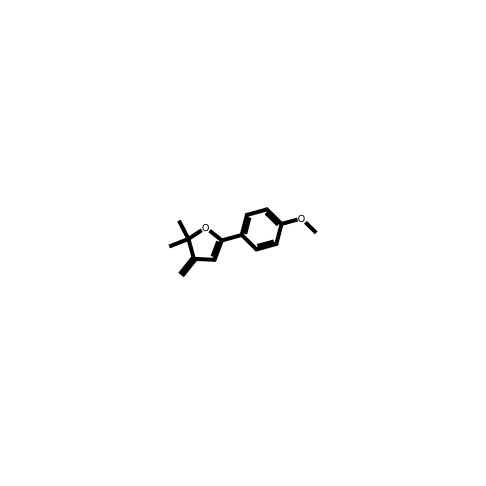 C=C1C=C(c2ccc(OC)cc2)OC1(C)C